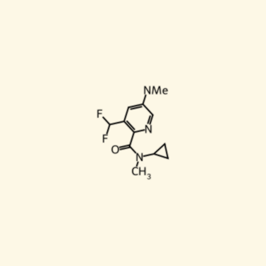 CNc1cnc(C(=O)N(C)C2CC2)c(C(F)F)c1